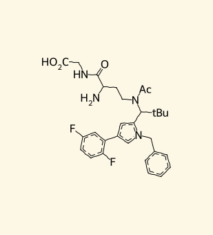 CC(=O)N(CCC(N)C(=O)NCC(=O)O)C(c1cc(-c2cc(F)ccc2F)cn1Cc1ccccc1)C(C)(C)C